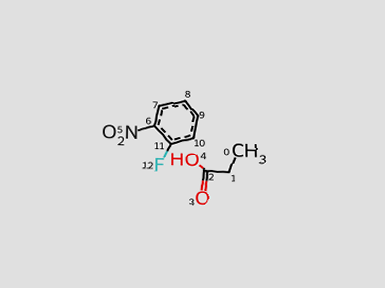 CCC(=O)O.O=[N+]([O-])c1ccccc1F